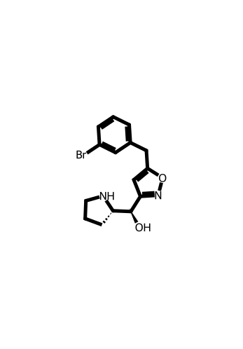 O[C@H](c1cc(Cc2cccc(Br)c2)on1)[C@@H]1CCCN1